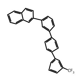 FC(F)(F)c1cccc(-c2ccc(-c3cccc(-c4ccc5ccccc5c4)c3)cc2)c1